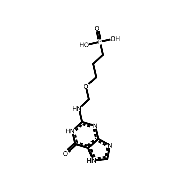 O=c1[nH]c(NCOCCCP(=O)(O)O)nc2nc[nH]c12